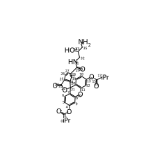 CC(C)C(=O)Oc1ccc2c(c1)Oc1cc(OC(=O)C(C)C)ccc1C21OC(=O)c2ccc(C(=O)NCC(O)CN)cc21